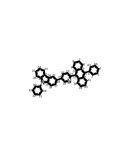 c1ccc(-c2c3ccccc3c(-c3ccc(-c4ccc5c(c4)c4ccccc4n5-c4ccccc4)cn3)c3ccccc23)cc1